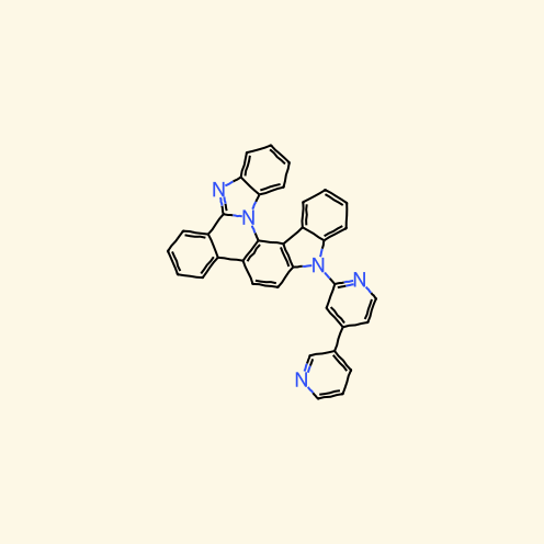 c1cncc(-c2ccnc(-n3c4ccccc4c4c3ccc3c5ccccc5c5nc6ccccc6n5c34)c2)c1